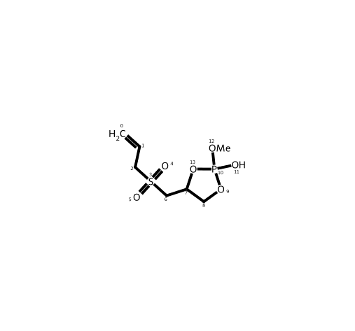 C=CCS(=O)(=O)CC1CO[P](O)(OC)O1